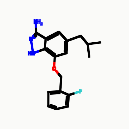 CC(C)Cc1cc(OCc2ccccc2F)c2[nH]nc(N)c2c1